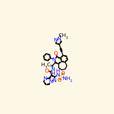 C[C@@H](NC(=O)c1c(NS(N)(=O)=O)nn2cccnc12)c1c2c3c(ccc(C#Cc4cnn(C)c4)c3c(=O)n1-c1ccccc1)CCCC2